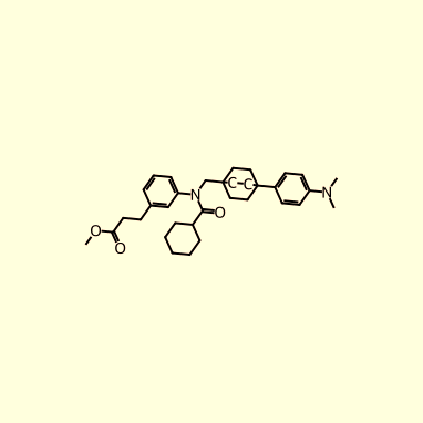 COC(=O)CCc1cccc(N(CC23CCC(c4ccc(N(C)C)cc4)(CC2)CC3)C(=O)C2CCCCC2)c1